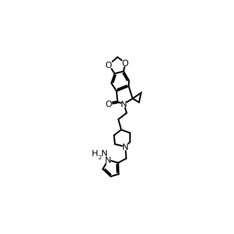 Nn1cccc1CN1CCC(CCN2C(=O)c3cc4c(cc3C23CC3)OCO4)CC1